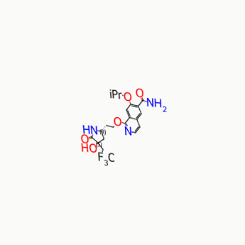 CC(C)Oc1cc2c(OCC[C@@H]3C[C@](O)(CC(F)(F)F)C(=O)N3)nccc2cc1C(N)=O